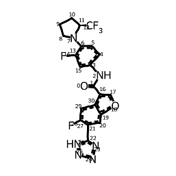 O=C(Nc1ccc(N2CCC[C@H]2C(F)(F)F)c(F)c1)c1coc2cc(-c3nnn[nH]3)c(F)cc12